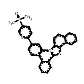 CP(C)(=O)c1ccc(-c2ccc3c4ccccc4c4nc5c6ccccc6ccc5n4c3c2)nc1